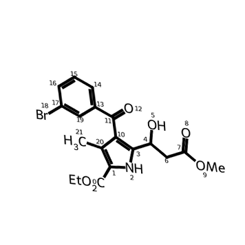 CCOC(=O)c1[nH]c(C(O)CC(=O)OC)c(C(=O)c2cccc(Br)c2)c1C